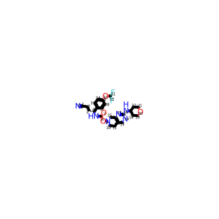 N#CCC[C@@H](NC(=O)ON1CCc2cnc(NC3CCOCC3)nc2C1)c1ccc(OC(F)F)cc1